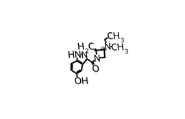 C=C1[C@H](N(C)CC)CN1C(=O)c1n[nH]c2ccc(O)cc12